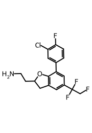 NCCC1Cc2cc(C(F)(F)CF)cc(-c3ccc(F)c(Cl)c3)c2O1